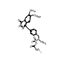 COc1cc2c(-c3ccc(CN(C(C)(C)C)S(=O)(=O)OC(N)=O)cc3)n[nH]c(=O)c2cc1OC